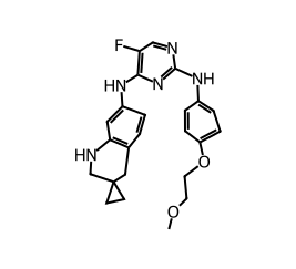 COCCOc1ccc(Nc2ncc(F)c(Nc3ccc4c(c3)NCC3(CC3)C4)n2)cc1